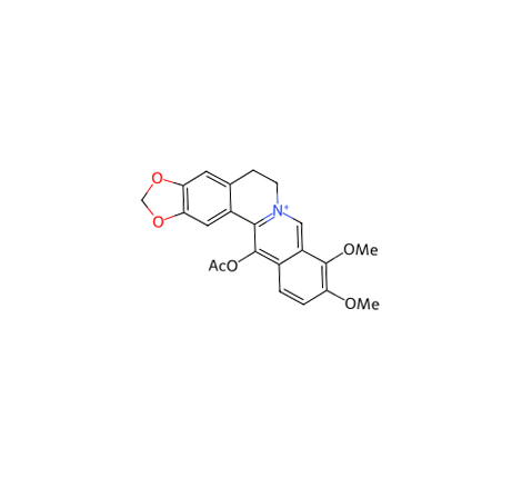 COc1ccc2c(OC(C)=O)c3[n+](cc2c1OC)CCc1cc2c(cc1-3)OCO2